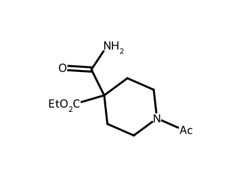 CCOC(=O)C1(C(N)=O)CCN(C(C)=O)CC1